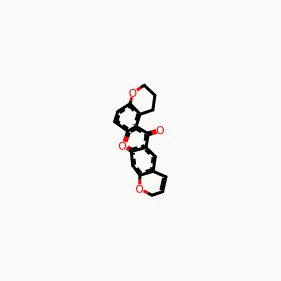 O=c1c2cc3c(cc2oc2ccc4c(c12)CCCO4)OCC=C3